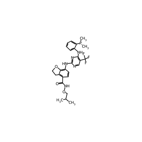 CC(C)CONC(=O)c1ccc(Nc2ncc(C(F)(F)F)c(Nc3ccccc3P(C)C)n2)c2c1CCO2